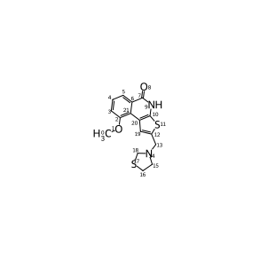 COc1cccc2c(=O)[nH]c3sc(CN4CCSC4)cc3c12